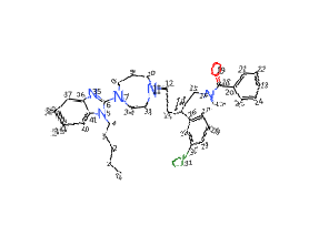 CCCCCn1c(N2CCCN(CCC(CN(C)C(=O)c3ccccc3)c3cccc(Cl)c3)CC2)nc2ccccc21